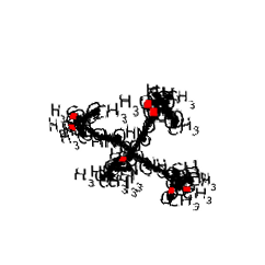 CC(=O)NC1C(OCCOCCNC(=O)CCOCC(COCCC(=O)NCCOCCOC2OC(COC(C)=O)C(OC(C)=O)C(OC(C)=O)C2NC(C)=O)(COCCC(=O)NCCOCCOC2OC(COC(C)=O)C(OC(C)=O)C(OC(C)=O)C2NC(C)=O)NC(=O)c2ccc(OP(NC(C(C)C)C(C)C)OCCC#N)cc2)OC(COC(C)=O)C(OC(C)=O)C1OC(C)=O